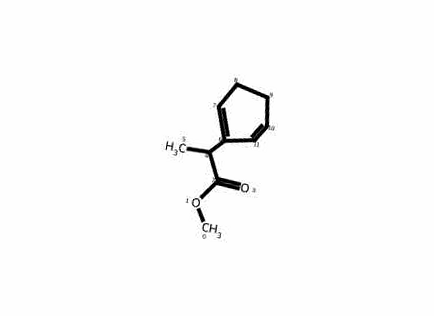 COC(=O)C(C)C1=CCCC=C1